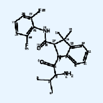 CC(C)C(N)C(=O)N1c2ccccc2C(C)(C)C1C(=O)Nc1c(F)cccc1F